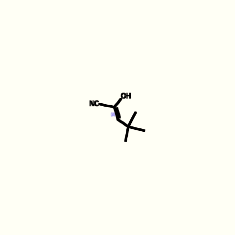 CC(C)(C)/C=C(\O)C#N